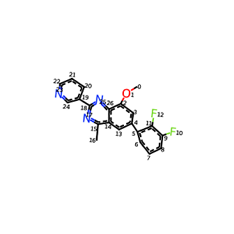 COc1cc(-c2cccc(F)c2F)cc2c(C)nc(-c3cccnc3)nc12